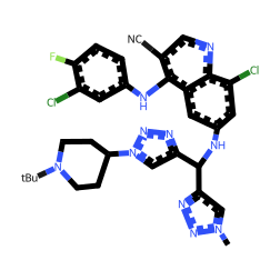 Cn1cc(C(Nc2cc(Cl)c3ncc(C#N)c(Nc4ccc(F)c(Cl)c4)c3c2)c2cn(C3CCN(C(C)(C)C)CC3)nn2)nn1